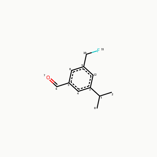 CC(C)c1cc(C=O)cc(CF)c1